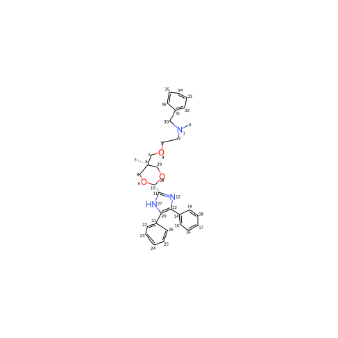 CN(CCOC[C@]1(C)CO[C@@H](c2nc(-c3ccccc3)c(-c3ccccc3)[nH]2)OC1)Cc1ccccc1